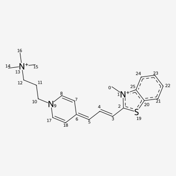 C[n+]1c(/C=C/C=C2C=CN(CCC[N+](C)(C)C)C=C2)sc2ccccc21